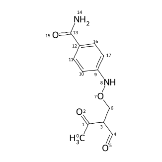 CC(=O)C(C=O)CONc1ccc(C(N)=O)cc1